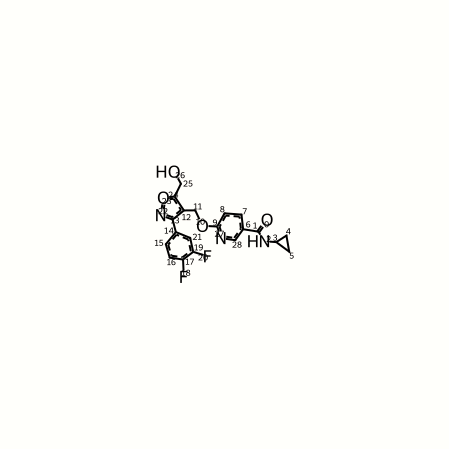 O=C(NC1CC1)c1ccc(OCc2c(-c3ccc(F)c(F)c3)noc2CO)nc1